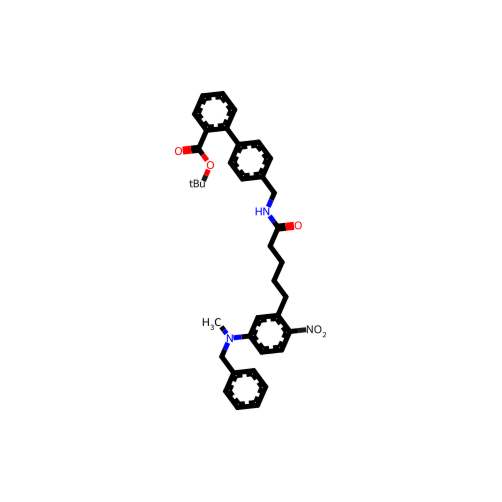 CN(Cc1ccccc1)c1ccc([N+](=O)[O-])c(CCCCC(=O)NCc2ccc(-c3ccccc3C(=O)OC(C)(C)C)cc2)c1